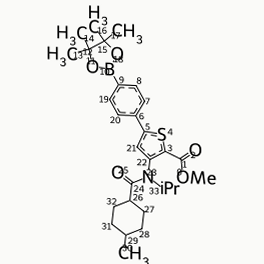 COC(=O)c1sc(-c2ccc(B3OC(C)(C)C(C)(C)O3)cc2)cc1N(C(=O)C1CCC(C)CC1)C(C)C